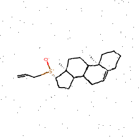 C=CC[S+]([O-])[C@H]1CCC2C3CC=C4CCCC[C@]4(C)C3CC[C@@]21C